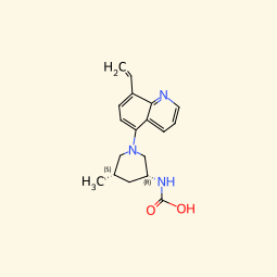 C=Cc1ccc(N2C[C@@H](C)C[C@@H](NC(=O)O)C2)c2cccnc12